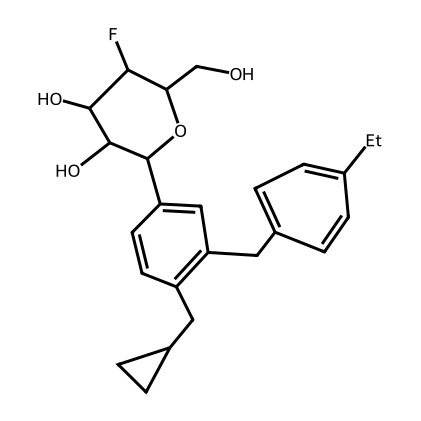 CCc1ccc(Cc2cc(C3OC(CO)C(F)C(O)C3O)ccc2CC2CC2)cc1